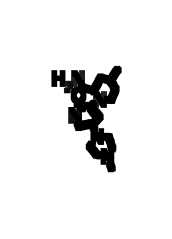 CC1CCN(c2[c]ncc(N3CCN(C)CC3)c2)C(C(N)=O)C1